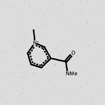 CNC(=O)c1ccc[n+](C)c1